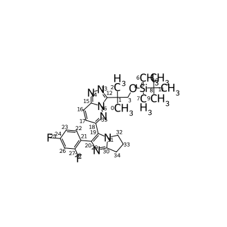 CC(C)(CO[Si](C)(C)C(C)(C)C)c1nnc2ccc(-c3c(-c4ccc(F)cc4F)nc4n3CCC4)nn12